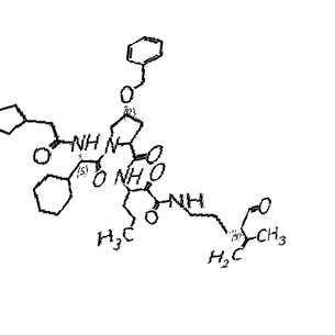 C=C(C)[C@@H](C=O)CCCNC(=O)C(=O)C(CCC)NC(=O)C1C[C@@H](OCc2ccccc2)CN1C(=O)[C@@H](NC(=O)CC1CCCC1)C1CCCCC1